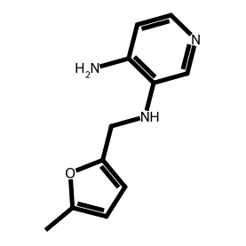 Cc1ccc(CNc2cnccc2N)o1